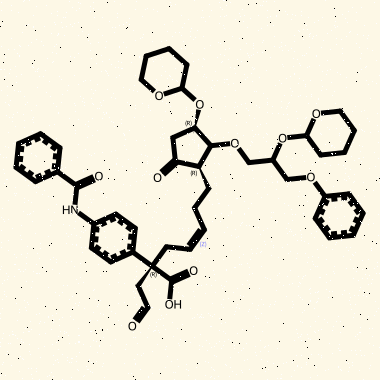 O=CC[C@@](C/C=C\CC[C@H]1C(=O)C[C@@H](OC2CCCCO2)C1OCC(COc1ccccc1)OC1CCCCO1)(C(=O)O)c1ccc(NC(=O)c2ccccc2)cc1